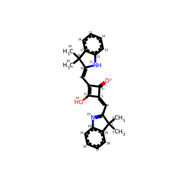 CC1(C)C(/C=C2/C(=O)C(/C=C3\Nc4ccccc4C3(C)C)=C2O)=Nc2ccccc21